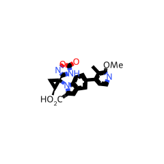 COc1nccc(-c2ccc3c(c2)cc(C(=O)O)n3[C@@]2(c3noc(=O)[nH]3)C[C@@H]2C)c1C